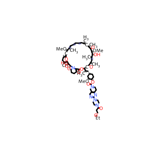 CCOCCC(=O)N1CCN(c2ncc3c(n2)CCN(C(=O)O[C@@H]2CC[C@@H](C[C@@H](C)[C@@H]4CC(=O)[C@H](C)/C=C(\C)[C@@H](O)[C@@H](OC)C(=O)[C@H](C)C[C@H](C)/C=C/C=C/C=C(\C)[C@@H](OC)C[C@@H]5CC[C@@H](C)[C@@](O)(O5)C(=O)C(=O)N5CCCC[C@H]5C(=O)O4)C[C@H]2OC)C3)CC1